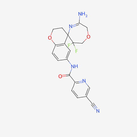 N#Cc1ccc(C(=O)Nc2ccc3c(c2)C2(CCO3)N=C(N)COCC2(F)F)nc1